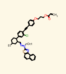 C=CC(=O)OCCCOc1ccc(C#Cc2ccc(C3CCC(CC)CC3/C=N/N(CCCCCCCC)c3nc4c(ccc5ccccc54)s3)cc2Cl)cc1